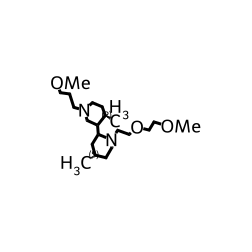 COCCCN1CC[C@@H](C)C(C2C[C@@H](C)CCN2CCOCCOC)C1